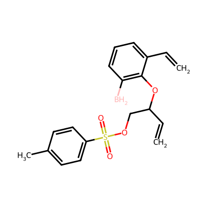 Bc1cccc(C=C)c1OC(C=C)COS(=O)(=O)c1ccc(C)cc1